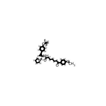 COc1ccc(C(=O)CCCCCC(=O)N[C@@]2(CN3CCCC3)CC2c2ccc(OC(F)(F)F)cc2)cc1